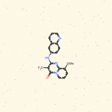 COc1cccn2c(=O)c(C(F)(F)F)c(Nc3ccc4ncccc4c3)nc12